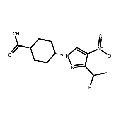 CC(=O)[C@H]1CC[C@H](n2cc([N+](=O)[O-])c(C(F)F)n2)CC1